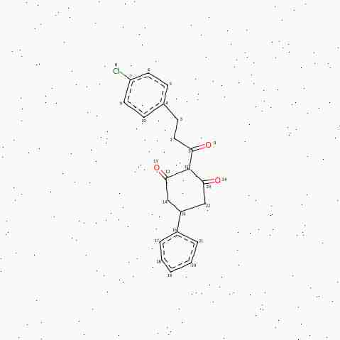 O=C(CCc1ccc(Cl)cc1)C1C(=O)CC(c2ccccc2)CC1=O